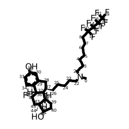 CN(CCCCCCCC(F)(F)C(F)(F)C(F)(F)C(F)(F)F)CCCCC[C@@H]1Cc2cc(O)ccc2[C@@H]2[C@@H]1[C@@H]1CC[C@H](O)[C@@]1(C)C[C@@H]2F